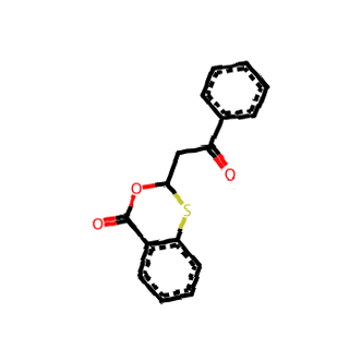 O=C(CC1OC(=O)c2ccccc2S1)c1ccccc1